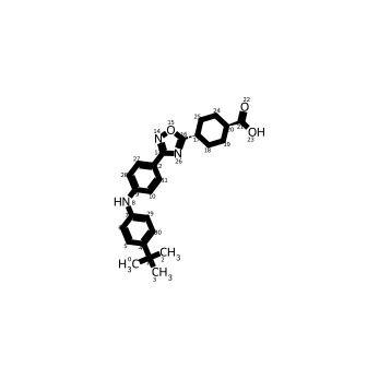 CC(C)(C)c1ccc(Nc2ccc(-c3noc([C@H]4CC[C@H](C(=O)O)CC4)n3)cc2)cc1